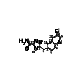 Cn1c(Cc2ccc3ncc(Cl)cc3c2)nnc1C(N)=O